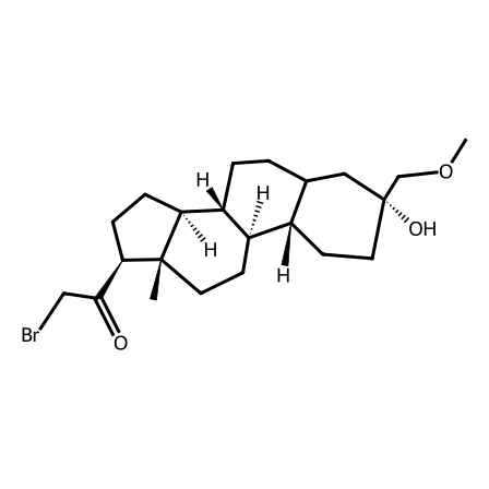 COC[C@@]1(O)CC[C@H]2C(CC[C@@H]3[C@@H]2CC[C@]2(C)[C@@H](C(=O)CBr)CC[C@@H]32)C1